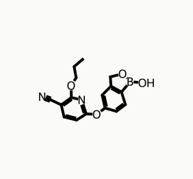 CCCOc1nc(Oc2ccc3c(c2)COB3O)ccc1C#N